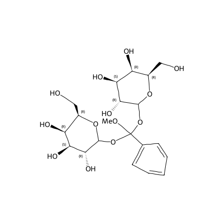 COC(OC1O[C@H](CO)[C@H](O)[C@H](O)[C@H]1O)(OC1O[C@H](CO)[C@H](O)[C@H](O)[C@H]1O)c1ccccc1